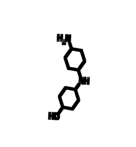 NC1CCC(NC2CCC(O)CC2)CC1